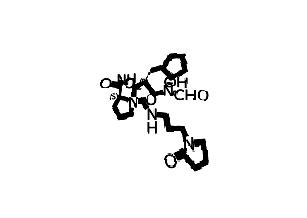 NC(=O)[C@@H]1CCC[N+]1(C(=O)NCCCN1CCCC1=O)C(=O)[C@H](CC1CCCC1)CN(O)C=O